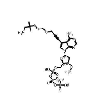 CC(C)(CN)SSCOCC#Cc1cn([C@H]2C[C@@H](ON)[C@@H](COP(=O)(O)OP(=O)(O)OP(=O)(O)O)O2)c2ncnc(N)c12